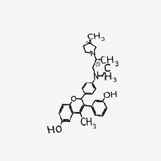 CCN(C[C@H](C)N1CC[C@@H](C)C1)c1ccc(C2Oc3ccc(O)cc3C(C)=C2c2cccc(O)c2)cc1